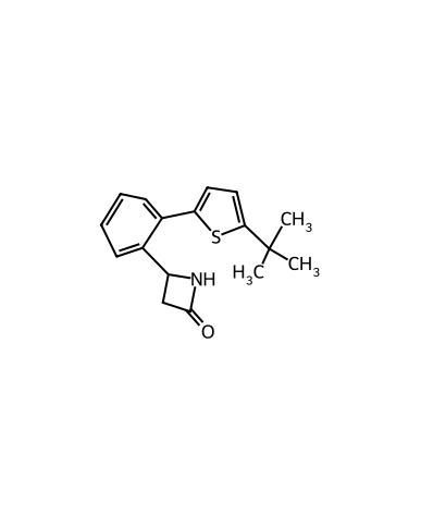 CC(C)(C)c1ccc(-c2ccccc2C2CC(=O)N2)s1